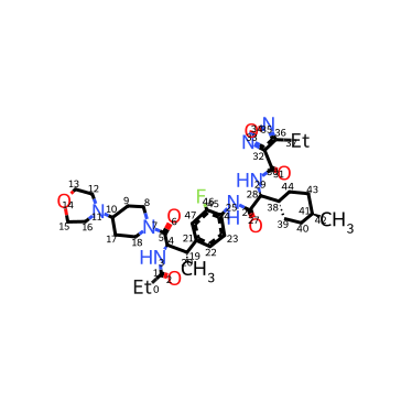 CCC(=O)N[C@@H](C(=O)N1CCC(N2CCOCC2)CC1)[C@@H](C)c1ccc(NC(=O)[C@@H](NC(=O)c2nonc2CC)[C@H]2CC[C@H](C)CC2)c(F)c1